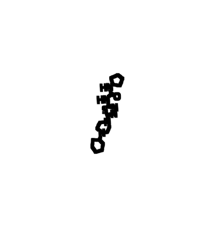 O=C(Nc1nnc(N2CCN(C3CCCCC3)CC2)s1)NC1CCCC1